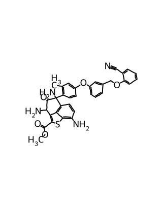 COC(=O)c1sc2c(N)ccc3c2c1C(N)C(=O)C3(N)c1ccc(Oc2cccc(COc3ccccc3C#N)c2)cc1C